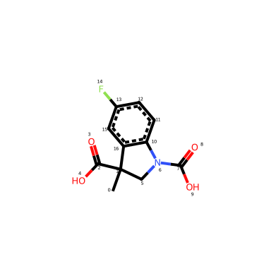 CC1(C(=O)O)CN(C(=O)O)c2ccc(F)cc21